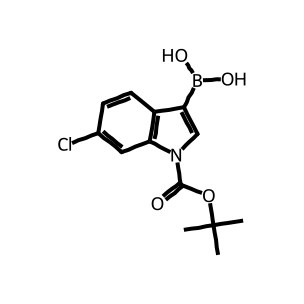 CC(C)(C)OC(=O)n1cc(B(O)O)c2ccc(Cl)cc21